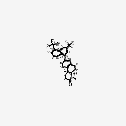 CN1C(=O)CC[C@]2(C)C3=C(C=C(c4cc(C(F)(F)F)nc5c(C(F)(F)F)cccc45)CC3)CC[C@@H]12